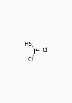 SP(Cl)Cl